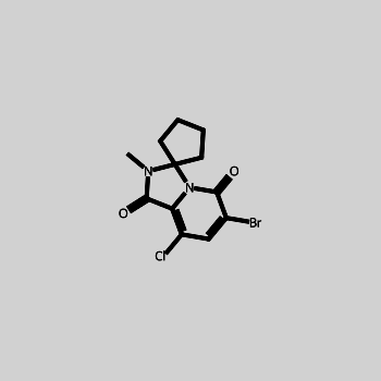 CN1C(=O)c2c(Cl)cc(Br)c(=O)n2C12CCCC2